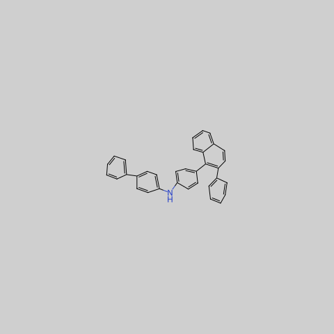 c1ccc(-c2ccc(Nc3ccc(-c4c(-c5ccccc5)ccc5ccccc45)cc3)cc2)cc1